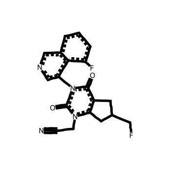 N#CCn1c2c(c(=O)n(-c3cncc4cccc(F)c34)c1=O)CC(CF)C2